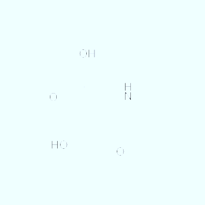 O=C(O)C1NCCOC1O